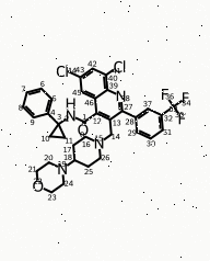 O=C(NC1(c2ccccc2)CC1)c1c(CN2CCC(N3CCOCC3)CC2)c(-c2cccc(C(F)(F)F)c2)nc2c(Cl)cc(Cl)cc12